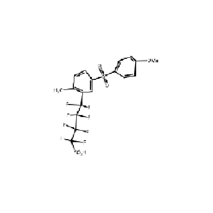 COc1ccc(S(=O)(=O)c2ccc(C)c(C(F)(F)C(F)(F)C(F)(F)C(F)(F)S(=O)(=O)O)c2)cc1